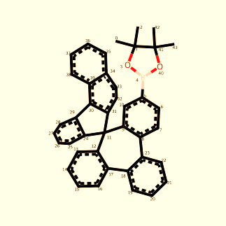 CC1(C)OB(c2ccc3c(c2)C2(c4ccccc4-c4ccccc4-3)c3ccccc3-c3c2ccc2ccccc32)OC1(C)C